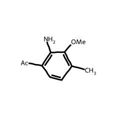 COc1c(C)ccc(C(C)=O)c1N